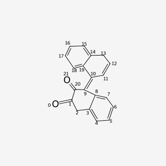 O=C1Cc2ccccc2C(=C2C=CCc3ccccc32)C1=O